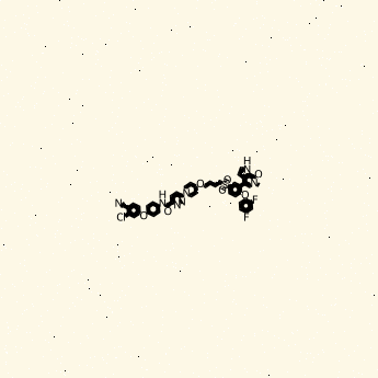 Cn1cc(-c2cc(S(=O)(=O)CCCCOC3CCN(c4ccc(C(=O)N[C@H]5CC[C@H](Oc6ccc(C#N)c(Cl)c6)CC5)nn4)CC3)ccc2Oc2ccc(F)cc2F)c2cc[nH]c2c1=O